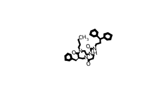 CCCCN1CC2N(C[C@@H](Cc3ccccc3)C1=O)C(=O)CCN2C(=O)NCCC(c1ccccc1)c1ccccc1